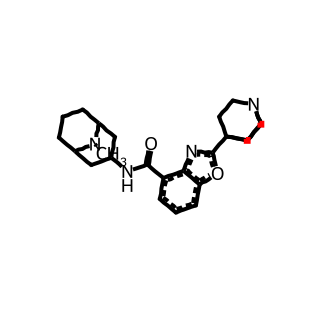 CN1C2CCCC1CC(NC(=O)c1cccc3oc(C45CCN(CC4)CC5)nc13)C2